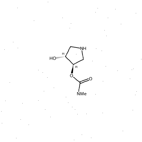 CNC(=O)O[C@@H]1CNC[C@H]1O